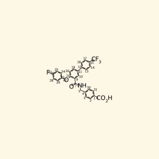 O=C(O)c1ccc(CNC(=O)c2cc(-c3ccc(C(F)(F)F)cc3)ccc2Oc2ccc(F)cc2)cc1